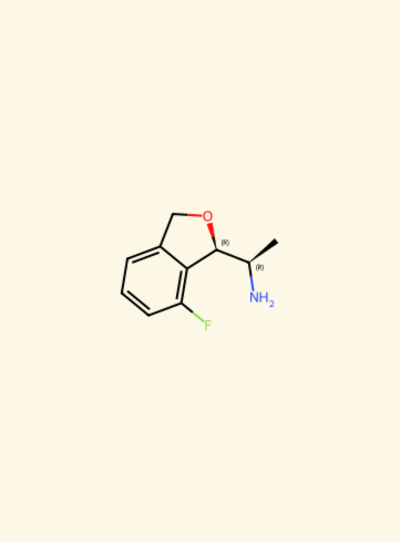 C[C@@H](N)[C@@H]1OCc2cccc(F)c21